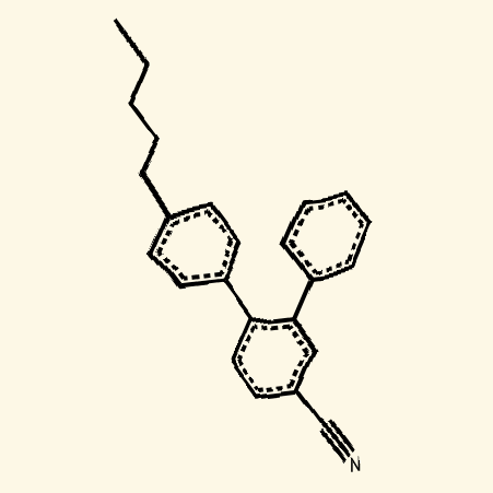 CCCCCc1ccc(-c2ccc(C#N)cc2-c2ccccc2)cc1